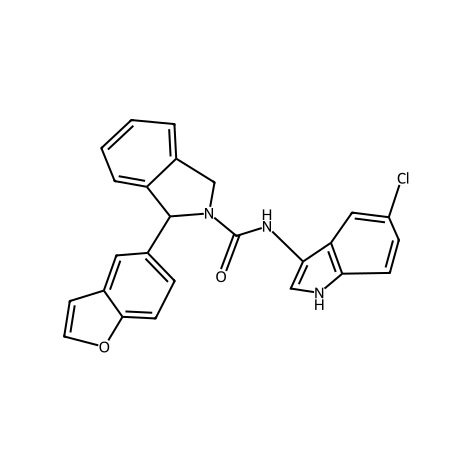 O=C(Nc1c[nH]c2ccc(Cl)cc12)N1Cc2ccccc2C1c1ccc2occc2c1